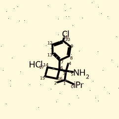 CC(C)C(C)C(C)(N)C1(c2ccc(Cl)cc2)CCC1.Cl